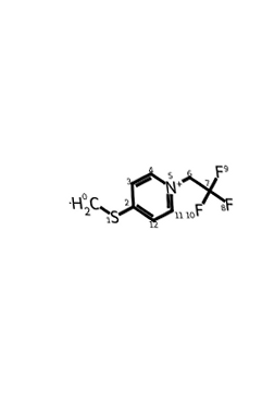 [CH2]Sc1cc[n+](CC(F)(F)F)cc1